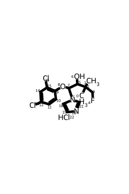 CC(C)(CF)C(O)C(Oc1ccc(Cl)cc1Cl)n1ccnc1.Cl